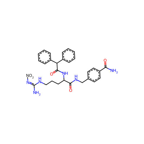 NC(=O)c1ccc(CNC(=O)C(CCCN/C(N)=N\[N+](=O)[O-])NC(=O)C(c2ccccc2)c2ccccc2)cc1